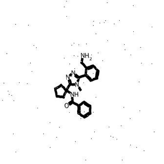 Cn1c(-c2ccccc2CN)nnc1C1(NC(=O)c2ccccc2)CCCC1